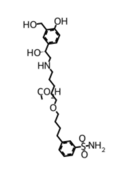 CC(=O)O.NS(=O)(=O)c1cccc(CCCCOCCCCCNC[C@H](O)c2ccc(O)c(CO)c2)c1